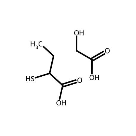 CCC(S)C(=O)O.O=C(O)CO